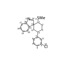 CSC1CCC(c2cccc(Cl)c2)CC12C=Nc1ccccc12